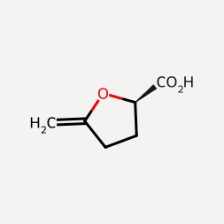 C=C1CC[C@H](C(=O)O)O1